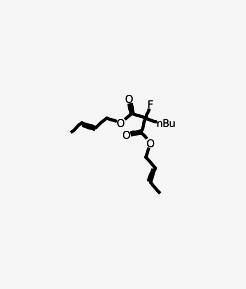 C/C=C/COC(=O)C(F)(CCCC)C(=O)OC/C=C/C